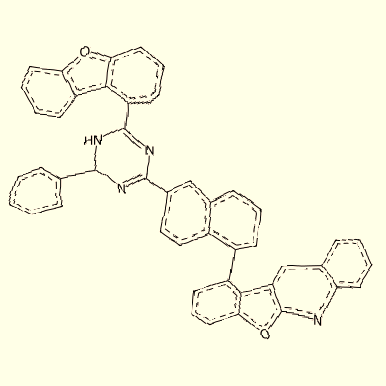 c1ccc(C2N=C(c3ccc4c(-c5cccc6oc7nc8ccccc8cc7c56)cccc4c3)N=C(c3cccc4oc5ccccc5c34)N2)cc1